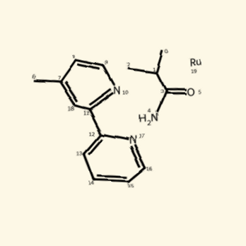 CC(C)C(N)=O.Cc1ccnc(-c2ccccn2)c1.[Ru]